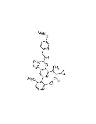 CNSc1ccc(CN/C(C=O)=N/c2c(C)nc(-c3c(OC)ncnc3C3CC3)nc2N(C)[C@@H](C)C2CC2)nc1